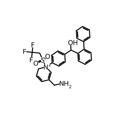 NCC1=C[N+](c2ccc(C(O)c3ccccc3-c3ccccc3)cc2)(S(=O)(=O)CC(F)(F)F)CC=C1